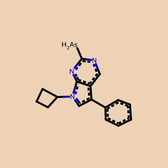 [AsH2]c1ncc2c(-c3ccccc3)cn(C3CCC3)c2n1